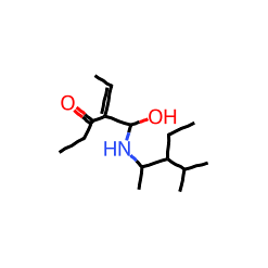 C/C=C(\C(=O)CC)C(O)NC(C)C(CC)C(C)C